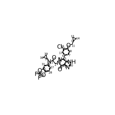 O=C(Cn1nc(-c2ccc(OCC3CC3)c(Cl)c2)c2[nH]cnc2c1=O)N(c1ccc2c(c1)OC(F)(F)O2)C1CC1